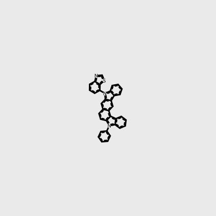 c1ccc(-n2c3ccccc3c3c4cc5c6ccccc6n(-c6cccc7ncsc67)c5cc4ccc32)cc1